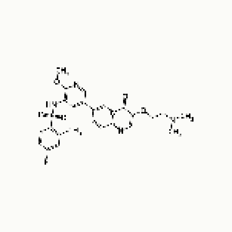 COc1ncc(-c2ccc3ncc(OCCN(C)C)c(=O)n3c2)cc1NS(=O)(=O)c1ccc(F)cc1C